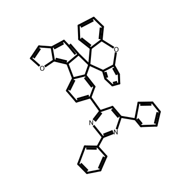 c1ccc(-c2cc(-c3ccc4c(c3)C3(c5ccccc5Oc5ccccc53)c3ccc5ccoc5c3-4)nc(-c3ccccc3)n2)cc1